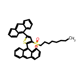 CCCCCCCCS(=O)(=O)c1cc(-c2c3ccccc3cc3ccccc23)sc1-c1c2ccccc2cc2ccccc12